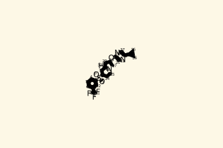 O=S(=O)(c1cccc(C(F)(F)F)c1)C1CCN2C[C@H](Oc3cnc(C4CC4)cn3)C[C@H]2C1